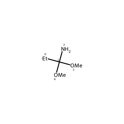 C[CH]C(N)(OC)OC